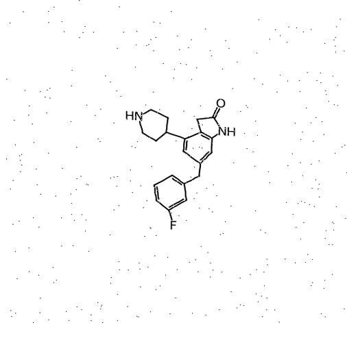 O=C1Cc2c(cc(Cc3cccc(F)c3)cc2C2CCNCC2)N1